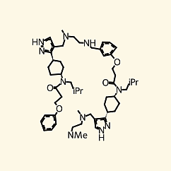 CNCCN(C)Cc1c[nH]nc1[C@H]1CC[C@H](N(CC(C)C)C(=O)CCOc2cccc(CNCCN(C)Cc3c[nH]nc3[C@H]3CC[C@@H](N(CC(C)C)C(=O)CCOc4ccccc4)CC3)c2)CC1